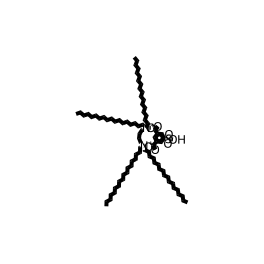 CCCCCCCCCCCCCCCCCC[N+]1(CCCCCCCCCCCCCCCCCC)CCCC[N+](CCCCCCCCCCCCCCCCCC)(CCCCCCCCCCCCCCCCCC)OC(=O)c2cc(cc(S(=O)(=O)O)c2)C(=O)O1